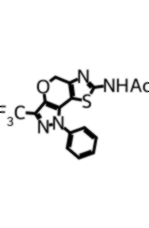 CC(=O)Nc1nc2c(s1)-c1c(c(C(F)(F)F)nn1-c1ccccc1)OC2